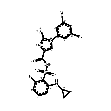 Cc1nc(C(=O)NS(=O)(=O)c2c(F)cccc2NC2CC2)cn1-c1cc(F)cc(F)c1